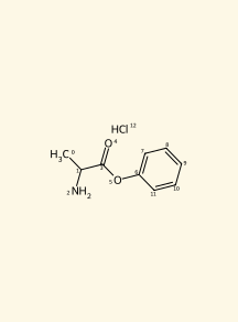 CC(N)C(=O)Oc1ccccc1.Cl